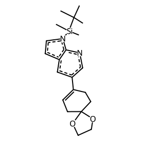 CC(C)(C)[Si](C)(C)n1ccc2cc(C3=CCC4(CC3)OCCO4)cnc21